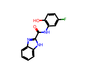 O=C(Nc1cc(F)ccc1O)c1nc2ccccc2[nH]1